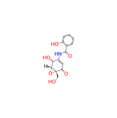 O=C(NC1=CC(=O)[C@]2(CO)O[C@@H]2[C@H]1O)c1ccccc1O